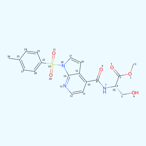 COC(=O)[C@H](CO)NC(=O)c1ccnc2c1ccn2S(=O)(=O)c1ccc(C)cc1